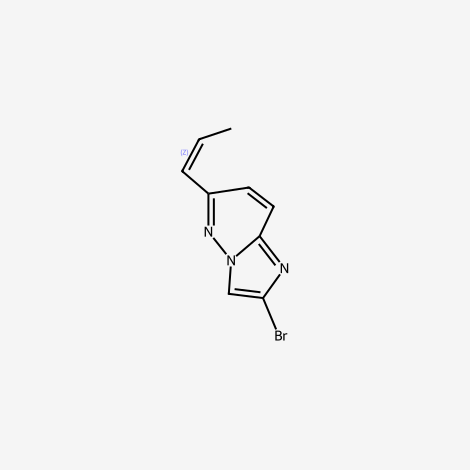 C/C=C\c1ccc2nc(Br)cn2n1